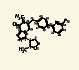 C[C@H]1OCC[C@H]1c1ncc2c(=O)n(C)c(Cc3ccc(-c4cccc(F)n4)cc3)cn12